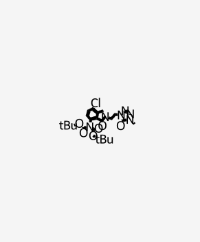 Cn1nnn(CCN2Cc3c(Cl)ccc(N(C(=O)OC(C)(C)C)C(=O)OC(C)(C)C)c3C2=O)c1=O